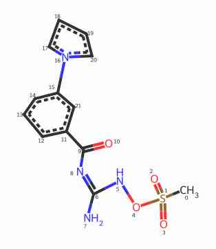 CS(=O)(=O)ONC(N)=NC(=O)c1cccc(-n2cccc2)c1